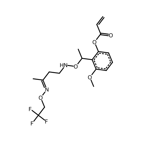 C=CC(=O)Oc1cccc(OC)c1C(C)ONCCC(C)=NOCC(F)(F)F